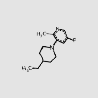 CCC1CCN(c2cc(F)cnc2C)CC1